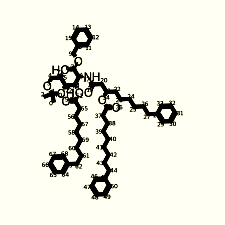 CC1(C)OC[C@H]2O[C@@H](OCc3ccccc3)[C@H](NC(=O)CC(CCCCCCc3ccccc3)OC(=O)CCCCCCCCc3ccccc3)[C@@H](OC(=O)CCCCCCCCc3ccccc3)[C@@H]2O1